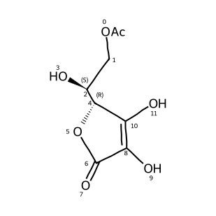 CC(=O)OC[C@H](O)[C@H]1OC(=O)C(O)=C1O